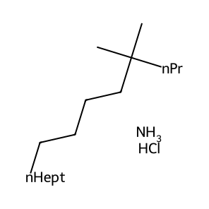 CCCCCCCCCCCC(C)(C)CCC.Cl.N